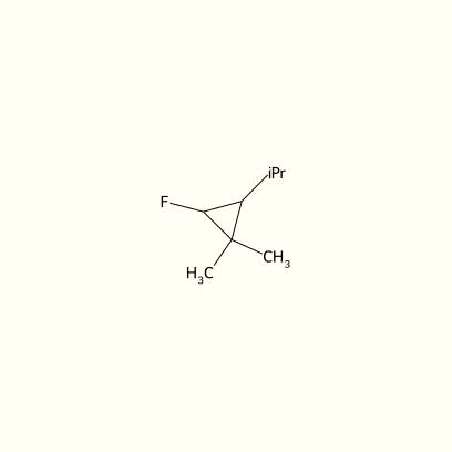 CC(C)C1C(F)C1(C)C